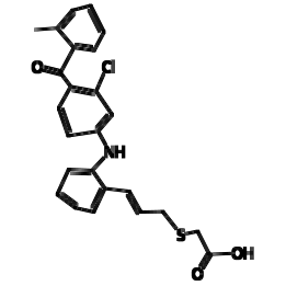 Cc1ccccc1C(=O)c1ccc(Nc2ccccc2C=CCSCC(=O)O)cc1Cl